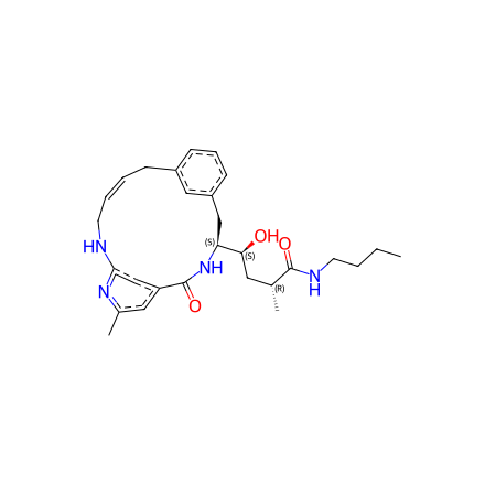 CCCCNC(=O)[C@H](C)C[C@H](O)[C@@H]1Cc2cccc(c2)CC=CCNc2cc(cc(C)n2)C(=O)N1